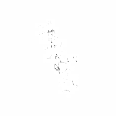 N#Cc1cc(-c2ccccc2)nnc1N1CCN(C2CC3CCC(C2)N3)CC1